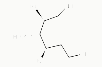 C[C@@H]([C@H](O)CCO)[C@@H](O)CN